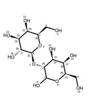 OC[C@H]1O[C@@H](O[C@H]2C(O)O[C@H](CO)[C@H](O)[C@@H]2O)[C@H](O)[C@@H](O)[C@H]1O